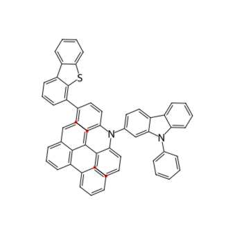 c1ccc(-c2cccc3cccc(-c4ccccc4N(c4ccc(-c5cccc6c5sc5ccccc56)cc4)c4ccc5c6ccccc6n(-c6ccccc6)c5c4)c23)cc1